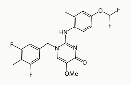 COc1cn(Cc2cc(F)c(C)c(F)c2)c(Nc2ccc(OC(F)F)cc2C)nc1=O